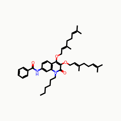 CCCCCCn1c(=O)c(OC/C=C(\C)CCC=C(C)C)c(OC/C=C(\C)CCC=C(C)C)c2ccc(NC(=O)c3ccccc3)cc21